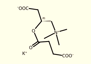 C[N+](C)(C)C[C@@H](CC(=O)[O-])OC(=O)CCC(=O)[O-].[K+]